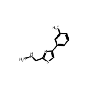 Cc1cccc(-c2csc(CNN)n2)c1